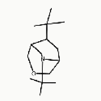 CC(C)(C)C1CC2COCC1CN2C(C)(C)C